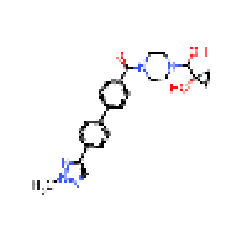 Cn1ncc(-c2ccc(-c3ccc(C(=O)N4CCN(C(O)C5(O)CC5)CC4)cc3)cc2)n1